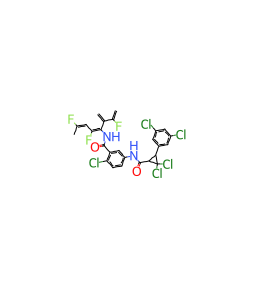 C=C(F)C(=C)/C(NC(=O)c1cc(NC(=O)C2C(c3cc(Cl)cc(Cl)c3)C2(Cl)Cl)ccc1Cl)=C(F)\C=C(/C)F